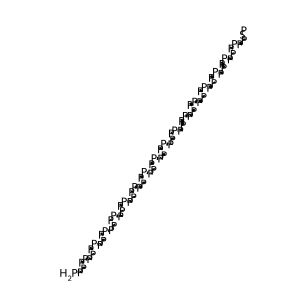 P#S\P=P/P=P\P=P/P=P\P=P/P=P\P=P/P=P\P=P/P=P\P=P/P=P\P=P/P=P\P=P/P=P\P=P/P=P\P=P/P=P\P=P/P=P\P=P/P=P\P=P/P=P\P=P/P=P\P=P/P=P\P=P/P=P\P=P/P